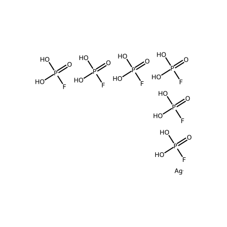 O=P(O)(O)F.O=P(O)(O)F.O=P(O)(O)F.O=P(O)(O)F.O=P(O)(O)F.O=P(O)(O)F.[Ag]